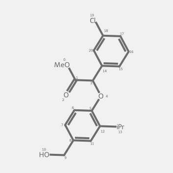 COC(=O)C(Oc1ccc(CO)cc1C(C)C)c1cccc(Cl)c1